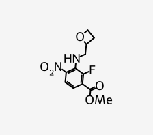 COC(=O)c1ccc([N+](=O)[O-])c(NCC2CCO2)c1F